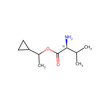 CC(OC(=O)[C@@H](N)C(C)C)C1CC1